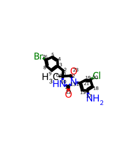 C[C@]1(Cc2ccc(Br)cc2)NC(=O)N(c2cc(N)cc(Cl)c2)C1=O